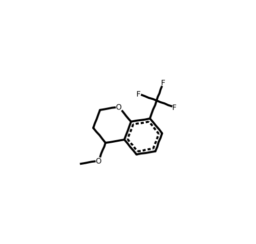 COC1CCOc2c1cccc2C(F)(F)F